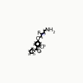 Cl.NC/C=C(\F)COc1ccc(C(=O)N2CCCC2)cc1